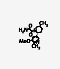 COc1cc([C@H]2CC[C@H](C)CN2C(=O)C(N)=O)cnc1C